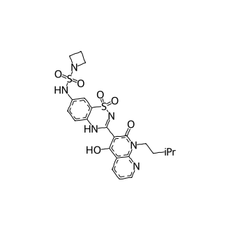 CC(C)CCn1c(=O)c(C2=NS(=O)(=O)c3cc(NS(=O)(=O)N4CCC4)ccc3N2)c(O)c2cccnc21